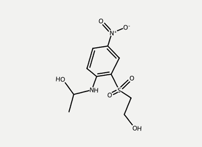 CC(O)Nc1ccc([N+](=O)[O-])cc1S(=O)(=O)CCO